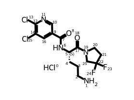 Cl.NCCC[C@H](NC(=O)c1cnc(Cl)c(Cl)c1)C(=O)N1CCC(F)(F)C1